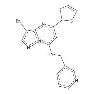 Brc1cnn2c(NCc3cccnc3)cc(C3CC=CS3)nc12